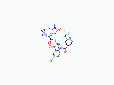 C[C@@H]1C[C@@H](C[C@H](NC(=O)c2cc(Cl)ccc2NC(=O)c2ccnc(C(F)(F)F)c2)C(=O)C(=O)NC2CC2)C(=O)N1